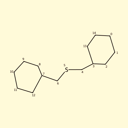 C1CCC(CSCC2CCCCC2)CC1